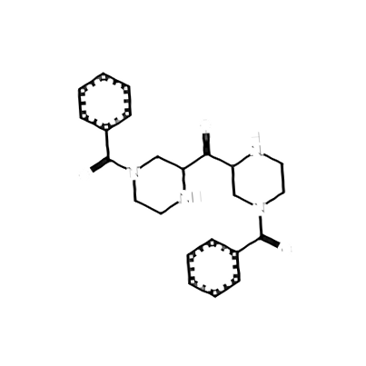 O=C(C1CN(C(=O)c2ccccc2)CCN1)C1CN(C(=O)c2ccccc2)CCN1